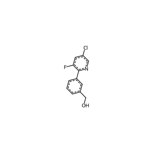 OCc1cccc(-c2ncc(Cl)cc2F)c1